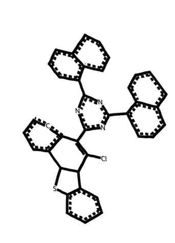 ClC1=C(c2nc(-c3cccc4ccccc34)nc(-c3cccc4ccccc34)n2)c2ccccc2C2Sc3ccccc3C12